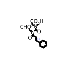 CN(CC(=O)O)C(=O)N(C[C]=O)C(=O)/C=C/c1ccccc1